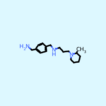 CC1CCCCN1CCCNCc1ccc(CN)cc1